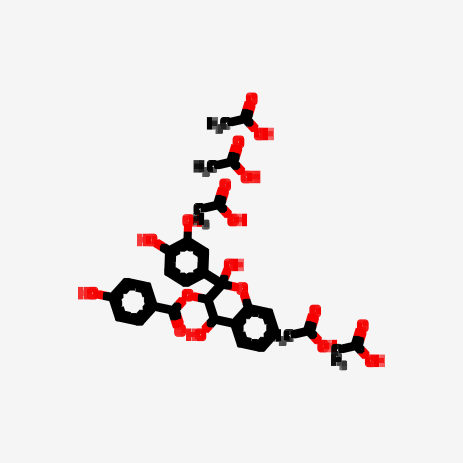 CC(=O)O.CC(=O)O.CC(=O)O.CC(=O)O.CC(=O)O.O=C(OC1C(O)c2ccccc2OC1(O)c1ccc(O)c(O)c1)c1ccc(O)cc1